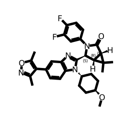 CO[C@H]1CC[C@H](n2c([C@@H]3[C@@H]4[C@H](C(=O)N3c3ccc(F)c(F)c3)C4(C)C)nc3cc(-c4c(C)noc4C)ccc32)CC1